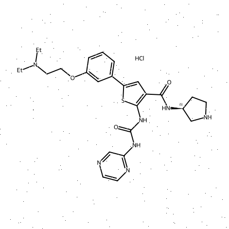 CCN(CC)CCOc1cccc(-c2cc(C(=O)N[C@H]3CCNC3)c(NC(=O)Nc3cnccn3)s2)c1.Cl